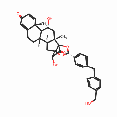 C[C@]12C=CC(=O)C=C1CC[C@@H]1C2[C@@H](O)C[C@@]2(C)[C@H]1C[C@H]1O[C@@H](c3ccc(Cc4ccc(CO)cc4)cc3)O[C@]12C(=O)CO